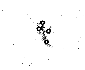 Cc1ccc(S(=O)(=O)OC[C@@H](O)[C@H](c2cccc(F)c2)n2cc(-c3ccccc3Cl)c3ccccc32)cc1